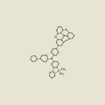 CC1(C)c2ccccc2-c2cc(N(c3ccc(-c4ccccc4)cc3)c3ccc(-c4cc5c6c(c4)c4cccc7c4n6-c4c(cccc4O5)O7)cc3)ccc21